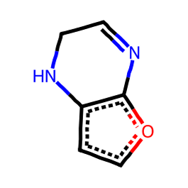 C1=Nc2occc2NC1